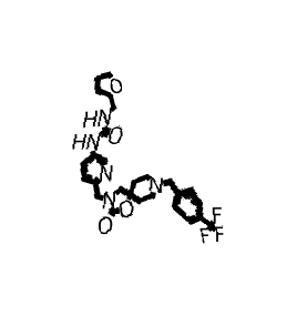 O=C(NCC1CCCO1)Nc1ccc(CN2CC3(CCN(Cc4ccc(C(F)(F)F)cc4)CC3)OC2=O)nc1